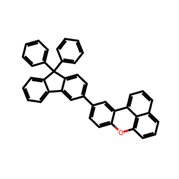 c1ccc(C2(c3ccccc3)c3ccccc3-c3cc(-c4ccc5c(c4)-c4cccc6cccc(c46)O5)ccc32)cc1